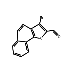 O=Cc1sc2c(ccc3ccccc32)c1Br